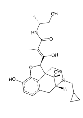 C/C(C(=O)N[C@H](C)CO)=C(/O)[C@@H]1Oc2c(O)ccc3c2[C@@]12CCN(CC1CC1)[C@H](C3)[C@@]2(C)O